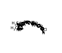 Cc1sc2c(c1C)C(c1ccc(OC3CC4(CCN(c5ccc(C(=O)N[C@H]6CC[C@H](Oc7ccc(C#N)c(Cl)c7)CC6)nn5)CC4)C3)cn1)=NC1(CC1)c1nnc(C)n1-2